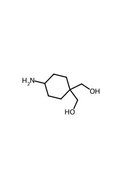 NC1CCC(CO)(CO)CC1